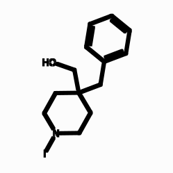 OCC1(Cc2ccccc2)CCN(I)CC1